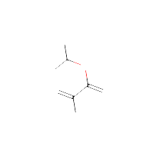 C=C(OC(C(F)(F)F)C(F)(F)F)C(=C)C(F)(F)F